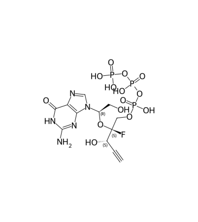 C#C[C@H](O)[C@@](F)(COP(=O)(O)OP(=O)(O)OP(=O)(O)O)O[C@H](CO)n1cnc2c(=O)[nH]c(N)nc21